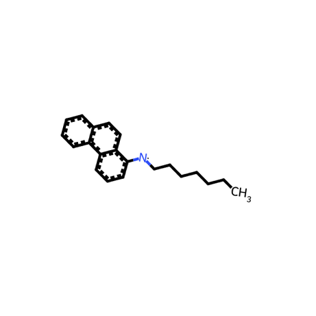 CCCCCCC[N]c1cccc2c1ccc1ccccc12